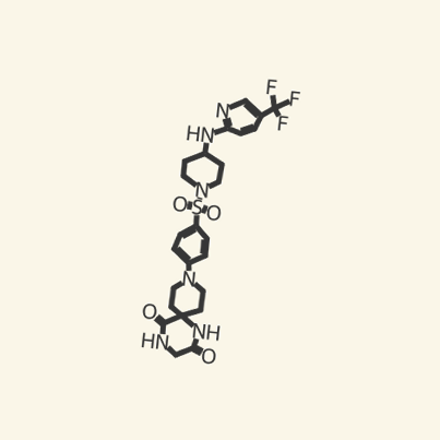 O=C1CNC(=O)C2(CCN(c3ccc(S(=O)(=O)N4CCC(Nc5ccc(C(F)(F)F)cn5)CC4)cc3)CC2)N1